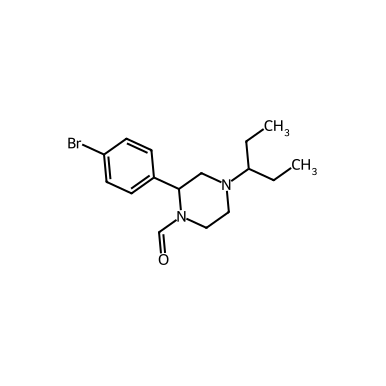 CCC(CC)N1CCN(C=O)C(c2ccc(Br)cc2)C1